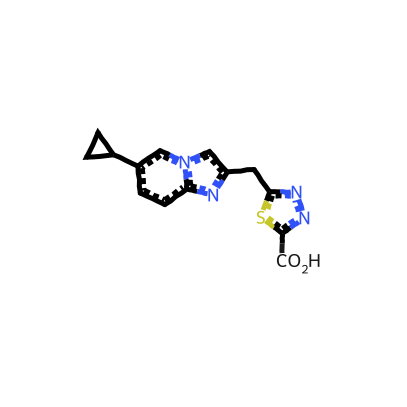 O=C(O)c1nnc(Cc2cn3cc(C4CC4)ccc3n2)s1